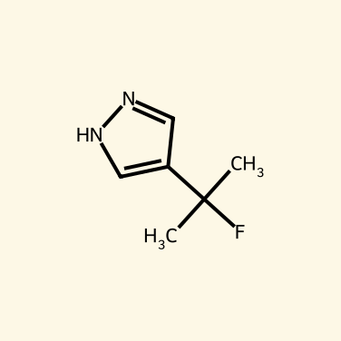 CC(C)(F)c1cn[nH]c1